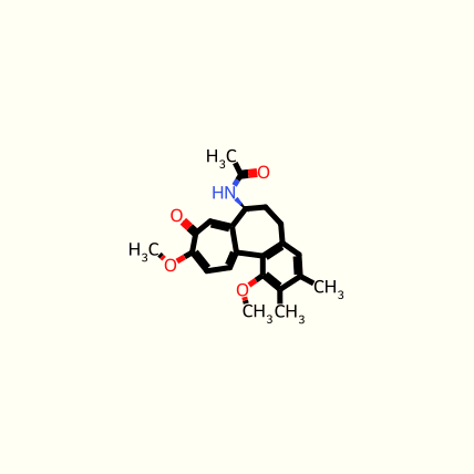 COc1c(C)c(C)cc2c1-c1ccc(OC)c(=O)cc1[C@@H](NC(C)=O)CC2